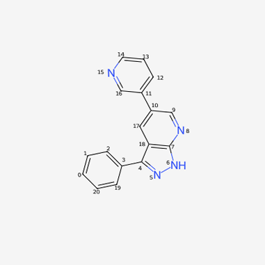 c1ccc(-c2n[nH]c3ncc(-c4cccnc4)cc23)cc1